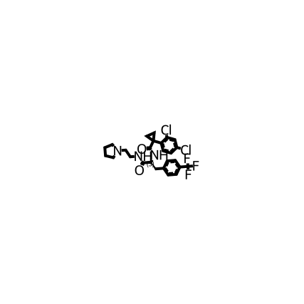 O=C(NCCN1CCCC1)[C@H](Cc1ccc(C(F)(F)F)cc1)NC(=O)C1(c2ccc(Cl)cc2Cl)CC1